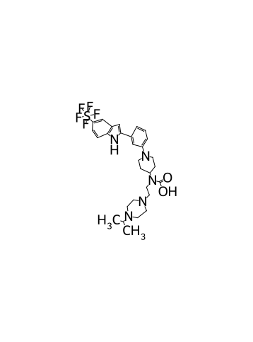 CC(C)N1CCN(CCN(C(=O)O)C2CCN(c3cccc(-c4cc5cc(S(F)(F)(F)(F)F)ccc5[nH]4)c3)CC2)CC1